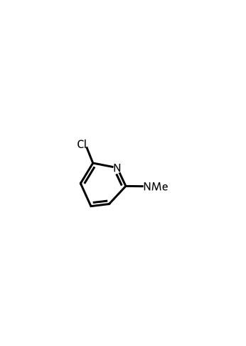 CNc1cccc(Cl)n1